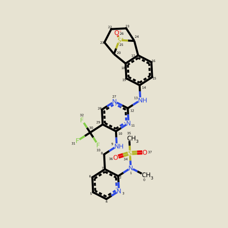 CN(c1ncccc1CNc1nc(Nc2ccc3c(c2)C2CCCC3[S+]2[O-])ncc1C(F)(F)F)S(C)(=O)=O